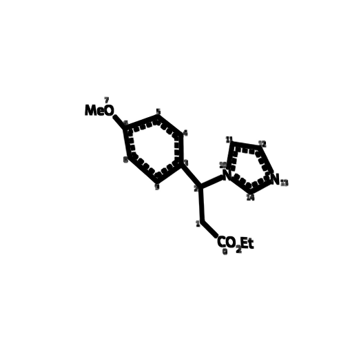 CCOC(=O)CC(c1ccc(OC)cc1)n1ccnc1